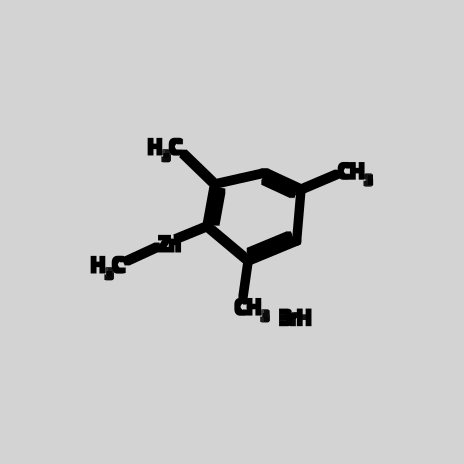 Br.[CH3][Zn][c]1c(C)cc(C)cc1C